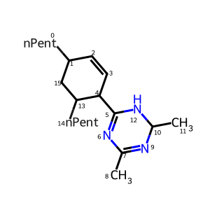 CCCCCC1C=CC(C2=NC(C)=NC(C)N2)C(CCCCC)C1